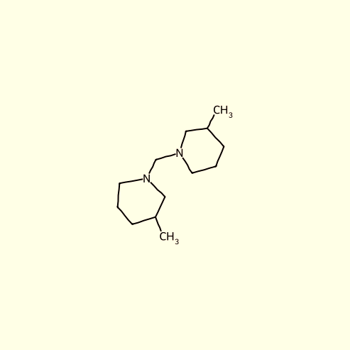 CC1CCCN(CN2CCCC(C)C2)C1